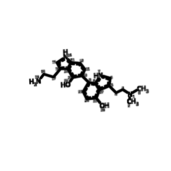 CN(C)CCc1c[nH]c2c(-c3ccc4[nH]cc(CCN)c4c3O)ccc(O)c12